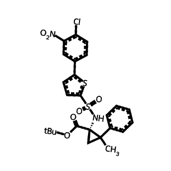 CC(C)(C)OC(=O)[C@]1(NS(=O)(=O)c2ccc(-c3ccc(Cl)c([N+](=O)[O-])c3)s2)CC1(C)c1ccccc1